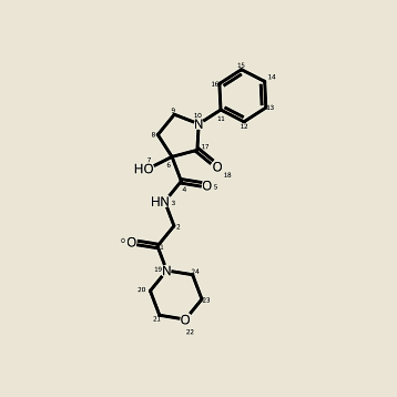 O=C(CNC(=O)C1(O)CCN(c2ccccc2)C1=O)N1CCOCC1